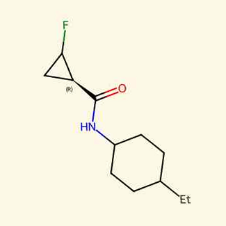 CCC1CCC(NC(=O)[C@H]2CC2F)CC1